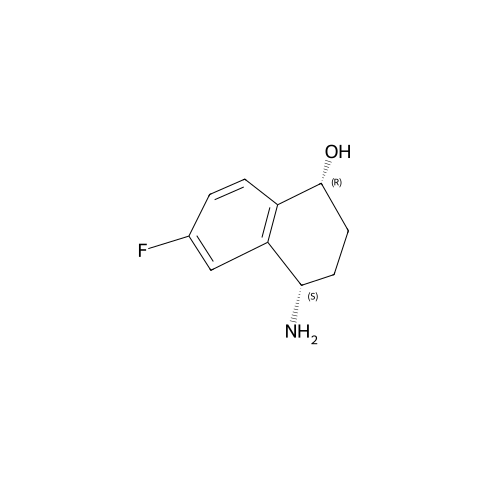 N[C@H]1CC[C@@H](O)c2ccc(F)cc21